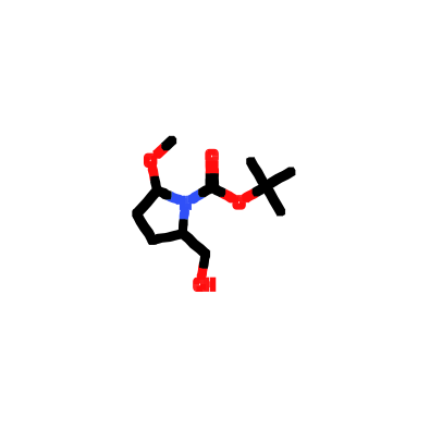 COC1CCC(CO)N1C(=O)OC(C)(C)C